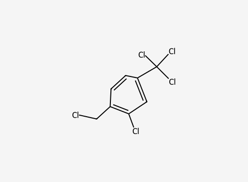 ClCc1ccc(C(Cl)(Cl)Cl)cc1Cl